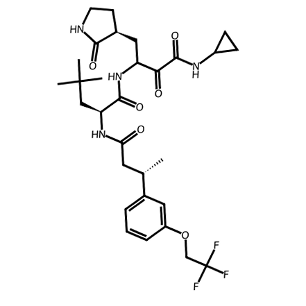 C[C@@H](CC(=O)N[C@@H](CC(C)(C)C)C(=O)NC(C[C@@H]1CCNC1=O)C(=O)C(=O)NC1CC1)c1cccc(OCC(F)(F)F)c1